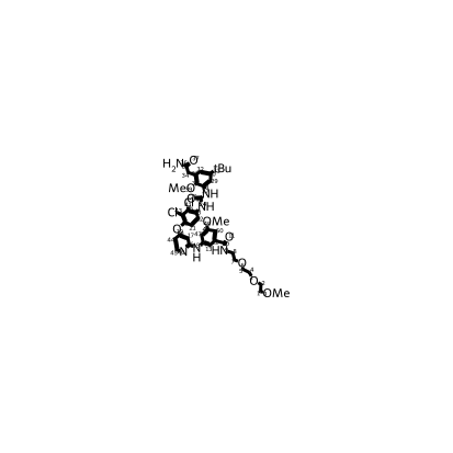 COCCOCCOCCNC(=O)c1cc(Nc2cc(Oc3ccc(NC(=O)Nc4cc(C(C)(C)C)cc(CC(N)=O)c4OC)c(Cl)c3Cl)ccn2)cc(OC)c1